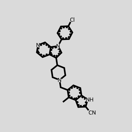 Cc1c(CN2CCC(c3cn(-c4ccc(Cl)cc4)c4cnccc34)CC2)ccc2[nH]c(C#N)cc12